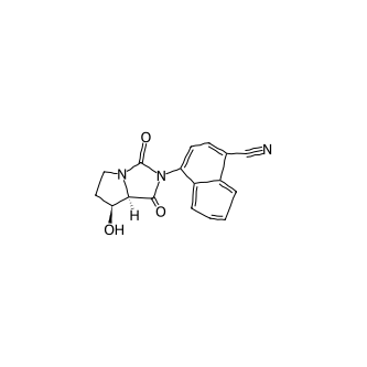 N#Cc1ccc(N2C(=O)[C@H]3[C@@H](O)CCN3C2=O)c2ccccc12